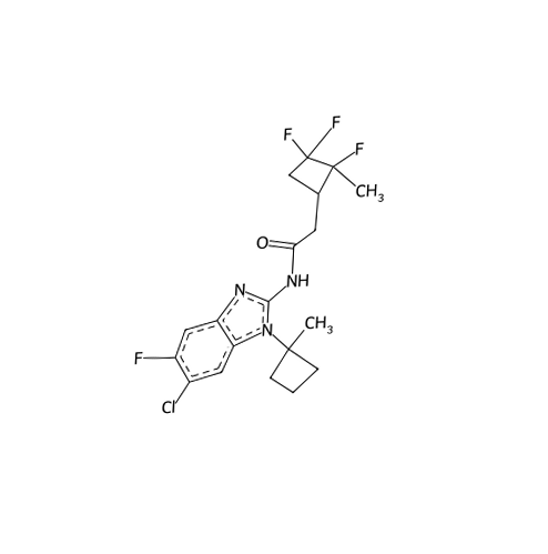 CC1(n2c(NC(=O)CC3CC(F)(F)C3(C)F)nc3cc(F)c(Cl)cc32)CCC1